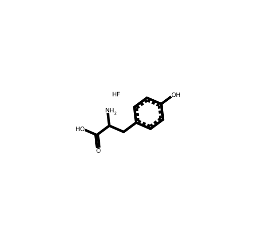 F.NC(Cc1ccc(O)cc1)C(=O)O